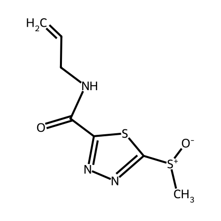 C=CCNC(=O)c1nnc([S+](C)[O-])s1